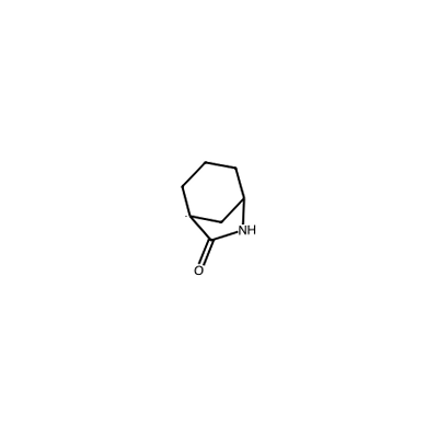 O=C1NC2CCC[C]1C2